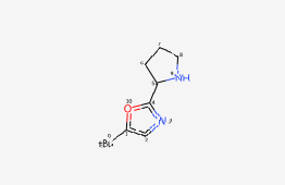 CC(C)(C)c1cnc(C2CCCN2)o1